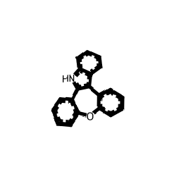 c1ccc2c(c1)Oc1ccccc1-c1c-2[nH]c2ccccc12